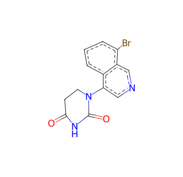 O=C1CCN(c2cncc3c(Br)cccc23)C(=O)N1